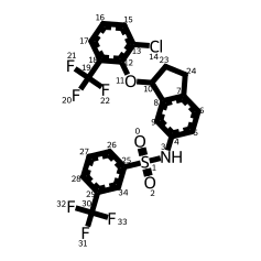 O=S(=O)(Nc1ccc2c(c1)C(Oc1c(Cl)cccc1C(F)(F)F)CC2)c1cccc(C(F)(F)F)c1